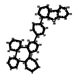 c1ccc2c(c1)-c1ccccc1-c1ccc(-c3ccc(-c4cccc5c4oc4ccncc45)cc3)cc1-c1ccccc1-2